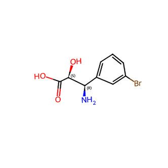 N[C@H](c1cccc(Br)c1)[C@H](O)C(=O)O